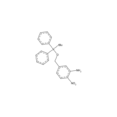 CC(C)(C)[Si](OCc1ccc([N+](=O)[O-])c(N)c1)(c1ccccc1)c1ccccc1